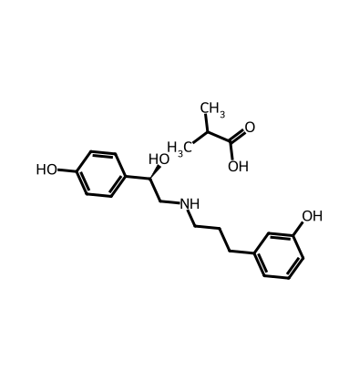 CC(C)C(=O)O.Oc1ccc([C@@H](O)CNCCCc2cccc(O)c2)cc1